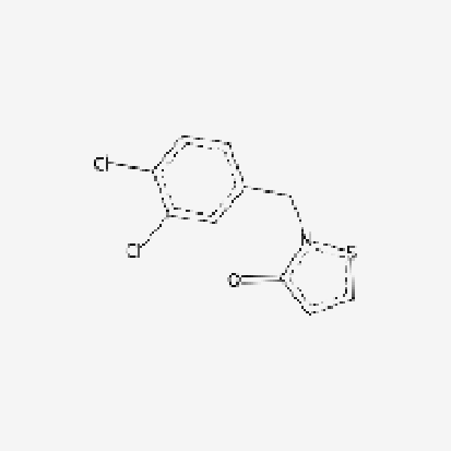 O=c1ccsn1Cc1ccc(Cl)c(Cl)c1